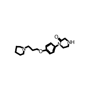 O=C1CNCCN1c1ccc(OCCCN2CCCCC2)cc1